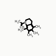 C=C(C)N1CCCc2c(C)c(C)c(C)c(C)c21